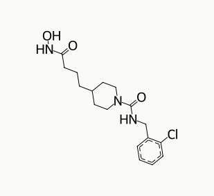 O=C(CCCC1CCN(C(=O)NCc2ccccc2Cl)CC1)NO